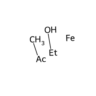 CC(C)=O.CCO.[Fe]